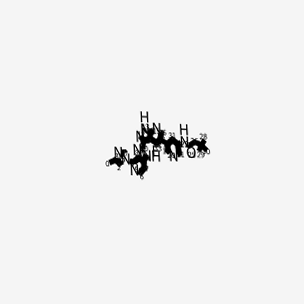 Cc1cn(-c2nccc3[nH]c(-c4n[nH]c5ncc(-c6cncc(NC(=O)CC(C)(C)C)c6)c(F)c45)nc23)cn1